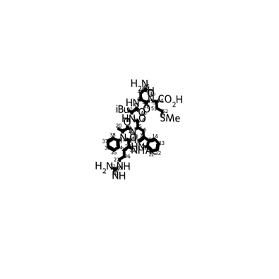 CCC(C)C(NC(=O)C(Cc1c[nH]c2ccccc12)NC(=O)C(C)N(C(=O)C(CCCNC(=N)N)NC(C)=O)c1ccccc1)C(=O)NC(CC(N)=O)C(=O)NC(CCSC)C(=O)O